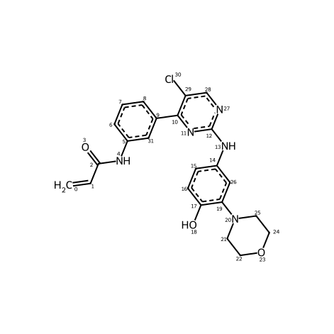 C=CC(=O)Nc1cccc(-c2nc(Nc3ccc(O)c(N4CCOCC4)c3)ncc2Cl)c1